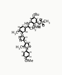 C=C(Nc1cc(C(C)(C)C)cc(NS(C)(=O)=O)c1OC)c1ccc(C)c(-n2cc(-c3cnn(-c4ccc(OC)cc4)c3C)nn2)c1